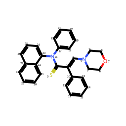 S=C(C(=CN1CCOCC1)c1ccccc1)N(c1ccccc1)c1cccc2ccccc12